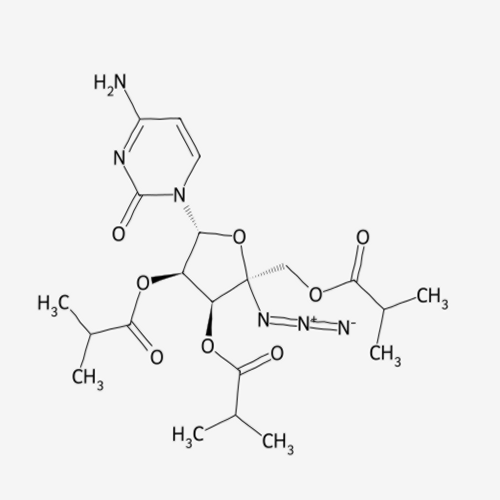 CC(C)C(=O)OC[C@@]1(N=[N+]=[N-])O[C@@H](n2ccc(N)nc2=O)[C@H](OC(=O)C(C)C)[C@@H]1OC(=O)C(C)C